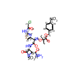 CC(C)(O/N=C(\C(=O)N[C@H]1C(=O)N(S(=O)(=O)O)[C@H]1C(N)=O)c1csc(NC(=O)CCl)n1)C(=O)OCc1ccc([N+](=O)[O-])cc1